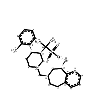 Cc1ccccc1[C@H]1CCN(C[C@@H]2CCc3cccnc3[C@@H](O)C2)C[C@@H]1C(C)(N)S(C)(=O)=O